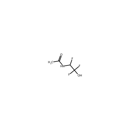 CC(=O)NC(F)C(O)(F)F